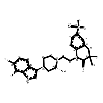 C[C@@H]1C[C@@H](c2c[nH]c3c(F)c(F)ccc23)CCN1CCN1C(=O)C(C)(C)Cc2cc(S(C)(=O)=O)ccc21